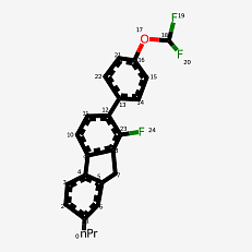 CCCc1ccc2c(c1)Cc1c-2ccc(-c2ccc(OC(F)F)cc2)c1F